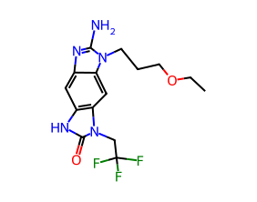 CCOCCCn1c(N)nc2cc3[nH]c(=O)n(CC(F)(F)F)c3cc21